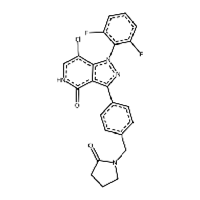 O=C1CCCN1Cc1ccc(-c2nn(-c3c(F)cccc3F)c3c(Cl)c[nH]c(=O)c23)cc1